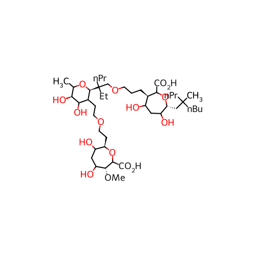 CCCCC(C)(CCC)C[C@H]1OC(C(=O)O)[C@H](CCCOCC(CC)(CCC)[C@@H]2OC(C)[C@H](O)C(O)C2CCOCC[C@H]2OC(C(=O)O)[C@H](OC)C(O)CC2O)C(O)CC1O